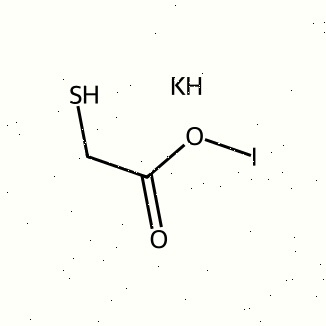 O=C(CS)OI.[KH]